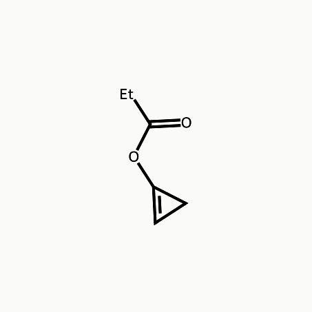 CCC(=O)OC1=CC1